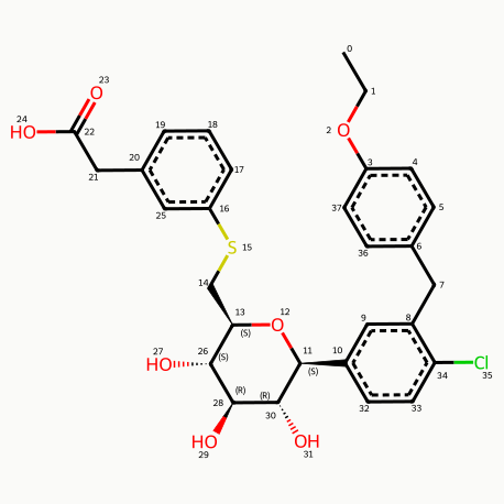 CCOc1ccc(Cc2cc([C@@H]3O[C@H](CSc4cccc(CC(=O)O)c4)[C@@H](O)[C@H](O)[C@H]3O)ccc2Cl)cc1